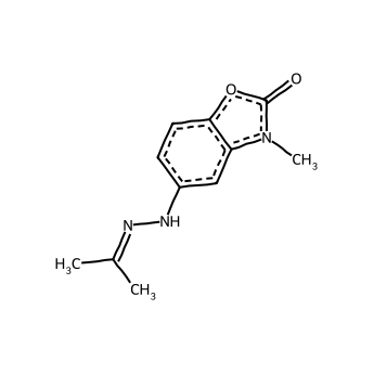 CC(C)=NNc1ccc2oc(=O)n(C)c2c1